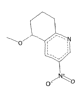 COC1CCCc2ncc([N+](=O)[O-])cc21